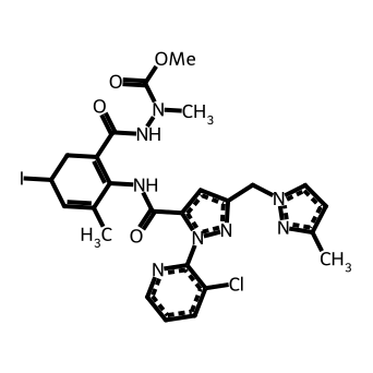 COC(=O)N(C)NC(=O)C1=C(NC(=O)c2cc(Cn3ccc(C)n3)nn2-c2ncccc2Cl)C(C)=CC(I)C1